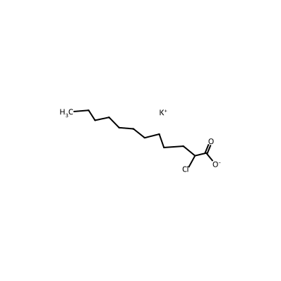 CCCCCCCCCCC(Cl)C(=O)[O-].[K+]